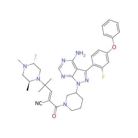 C[C@@H]1CN(C(C)(C)C=C(C#N)C(=O)N2CCCC(n3nc(-c4ccc(Oc5ccccc5)cc4F)c4c(N)ncnc43)C2)[C@@H](C)CN1C